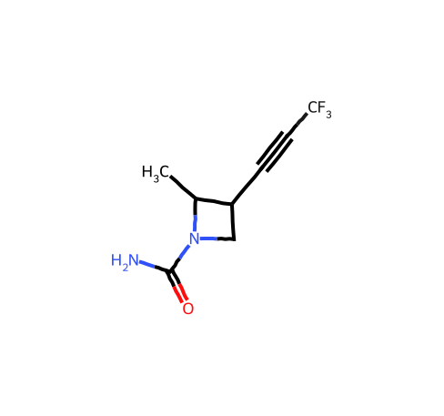 CC1C(C#CC(F)(F)F)CN1C(N)=O